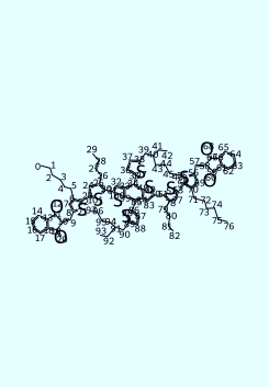 CCCCCCc1cc(C=C2C(=O)c3ccccc3C2=O)sc1-c1cc(CCCC)c(-c2cc3c(-c4ccc(CC(CC)CCCC)s4)c4sc(-c5sc(-c6sc(C=C7C(=O)c8ccccc8C7=O)cc6CCCCCC)cc5CCCC)cc4c(-c4ccc(CC(CC)CCCC)s4)c3s2)s1